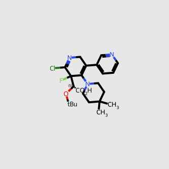 CC1(C)CCN(C2=C(c3cccnc3)CN=C(Cl)C2(F)[C@@H](OC(C)(C)C)C(=O)O)CC1